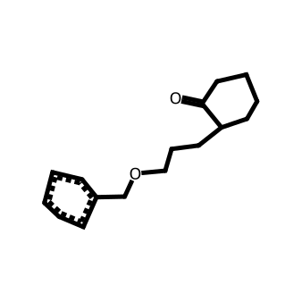 O=C1CCCCC1CCCOCc1ccccc1